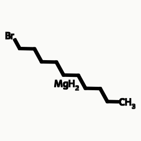 CCCCCCCCCCBr.[MgH2]